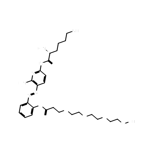 COCCOCCOCCOCCC(=O)Oc1ccccc1/N=N/c1ccc(NC(=O)[C@@H](N)CCCCN)nc1N